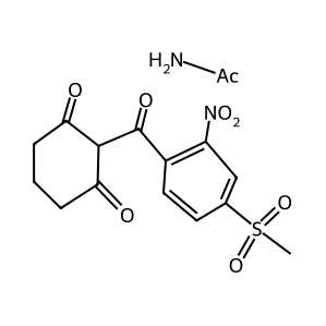 CC(N)=O.CS(=O)(=O)c1ccc(C(=O)C2C(=O)CCCC2=O)c([N+](=O)[O-])c1